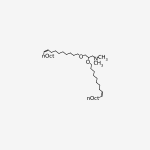 CCCCCCCC/C=C\CCCCCCCCOCC(CN(C)C)OCCCCCCCC/C=C\CCCCCCCC